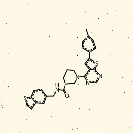 Cc1ccc(-c2cc3c(N4CCC[C@H](C(=O)NCc5ccc6sccc6c5)C4)ncnc3s2)cc1